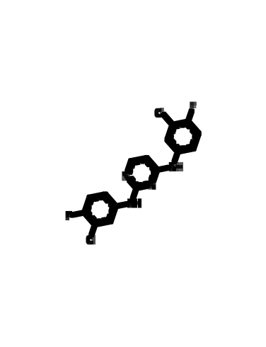 Fc1ccc(Nc2ccnc(Nc3ccc(F)c(Cl)c3)n2)cc1Cl